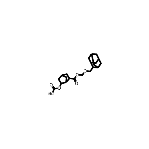 CCC(C)C(=O)OC1CC2CC(C(=O)OCOCC3C4CC5CC(C4)CC3C5)C1C2